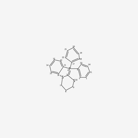 c1ccc(P(=C2SCCCS2)(c2ccccc2)c2ccccc2)cc1